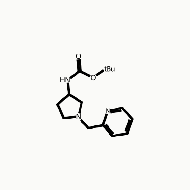 CC(C)(C)OC(=O)NC1CCN(Cc2ccccn2)C1